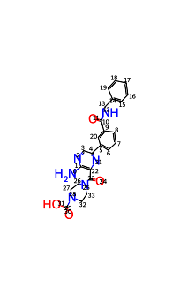 Nc1ncc(-c2cccc(C(=O)NCc3ccccc3)c2)nc1C(=O)N1CCN(C(=O)O)CC1